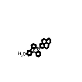 Cc1ccc2c(c1)-c1cccc3c1B2c1ccccc1N3c1cc2c3c(c1)CC=C1C=CC=C(C=C2)C13